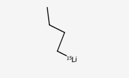 [15Li][CH2]CCC